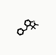 CC1=Nc2cccc(Cc3ccccc3)c2C1(C)C